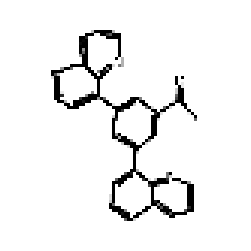 CC(=O)c1cc(-c2cccc3cccnc23)cc(-c2cccc3cccnc23)c1